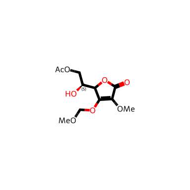 COCOC1=C(OC)C(=O)OC1[C@@H](O)COC(C)=O